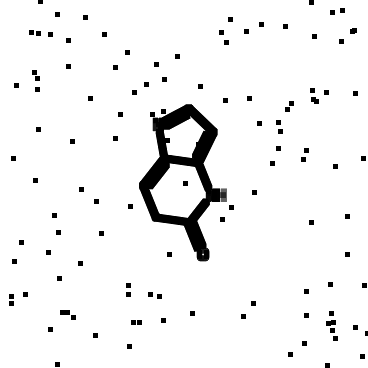 O=C1CC=C2N=CC=C2N1